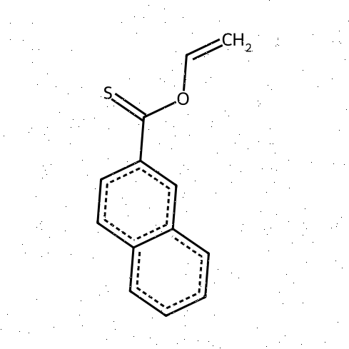 C=COC(=S)c1ccc2ccccc2c1